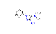 CC(C)(C)N(C(=O)O)c1cn(-c2ccccc2)nc1N